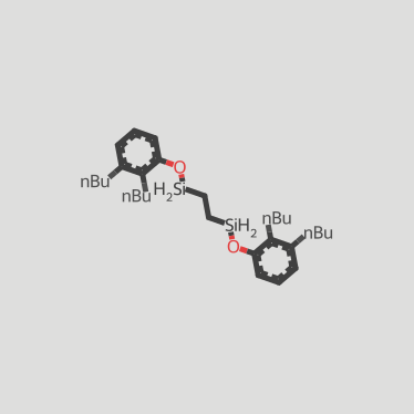 CCCCc1cccc(O[SiH2]CC[SiH2]Oc2cccc(CCCC)c2CCCC)c1CCCC